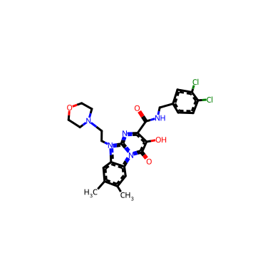 Cc1cc2c(cc1C)n1c(=O)c(O)c(C(=O)NCc3ccc(Cl)c(Cl)c3)nc1n2CCN1CCOCC1